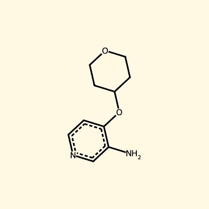 Nc1cnccc1OC1CCOCC1